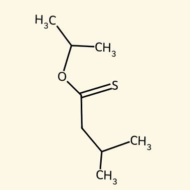 CC(C)CC(=S)OC(C)C